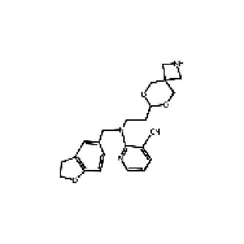 N#Cc1cccnc1N(CCC1OCC2(CNC2)CO1)Cc1ccc2c(c1)CCO2